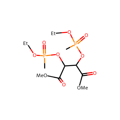 CCOP(C)(=O)OC(C(=O)OC)C(OP(C)(=O)OCC)C(=O)OC